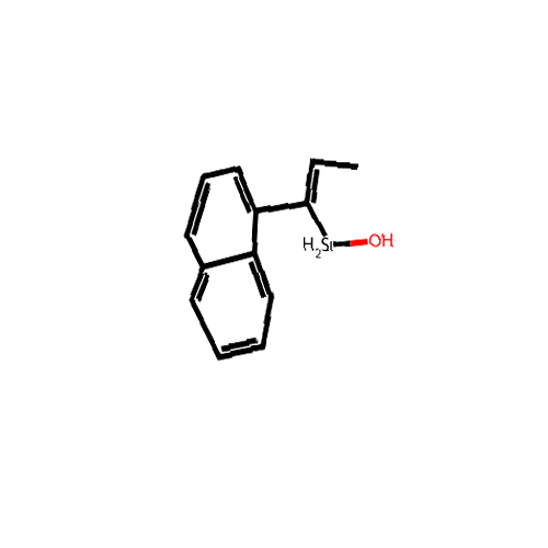 CC=C([SiH2]O)c1cccc2ccccc12